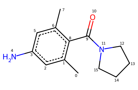 Cc1cc(N)cc(C)c1C(=O)N1CCCC1